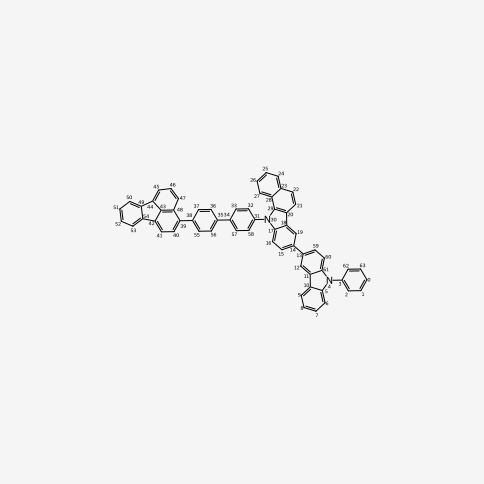 c1ccc(-n2c3ccccc3c3cc(-c4ccc5c(c4)c4ccc6ccccc6c4n5-c4ccc(-c5ccc(-c6ccc7c8c(cccc68)-c6ccccc6-7)cc5)cc4)ccc32)cc1